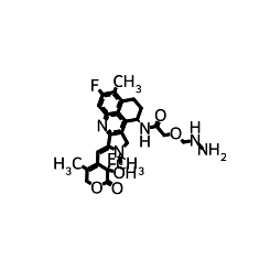 CC[C@@]1(O)C(=O)OCC(C)=C1/C=C1/c2nc3cc(F)c(C)c4c3c(c2CN1C)[C@@H](NC(=O)COCNN)CC4